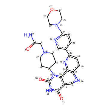 NC(=O)CN1CCC(n2c(=O)[nH]c(=O)c3cnc4ccc(-c5ccc(N6CCOCC6)nc5)nc4c32)CC1